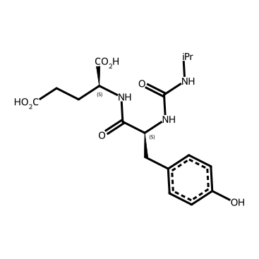 CC(C)NC(=O)N[C@@H](Cc1ccc(O)cc1)C(=O)N[C@@H](CCC(=O)O)C(=O)O